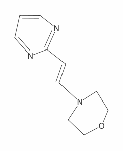 C(=CN1CCOCC1)c1ncccn1